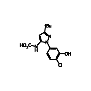 CC(C)(C)c1cc(NC(=O)O)n(-c2ccc(Cl)c(O)c2)n1